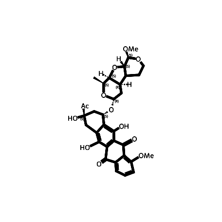 COc1cccc2c1C(=O)c1c(O)c3c(c(O)c1C2=O)C[C@@](O)(C(C)=O)C[C@@H]3O[C@H]1C[C@@H]2C3CCO[C@H](OC)[C@H]3O[C@@H]2[C@H](C)O1